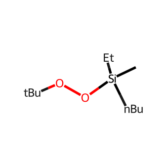 CCCC[Si](C)(CC)OOC(C)(C)C